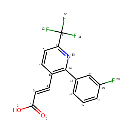 O=C(O)C=Cc1ccc(C(F)(F)F)nc1-c1cccc(F)c1